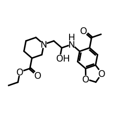 CCOC(=O)C1CCCN(CC(O)Nc2cc3c(cc2C(C)=O)OCO3)C1